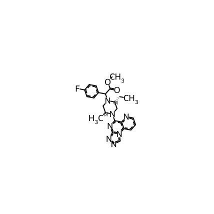 CC[C@@H]1CN(c2nc3nncn3c3cccnc23)[C@@H](C)CN1C(C(=O)OC)c1ccc(F)cc1